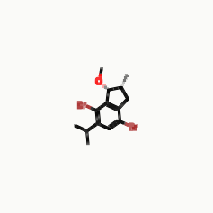 CO[C@H]1c2c(Br)c(C(C)C)cc(Br)c2C[C@H]1C